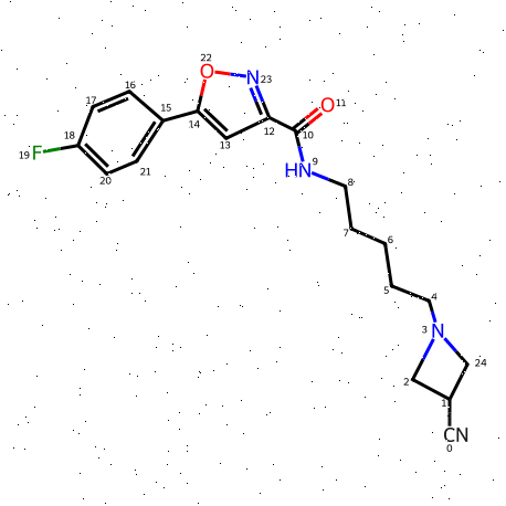 N#CC1CN(CCCCCNC(=O)c2cc(-c3ccc(F)cc3)on2)C1